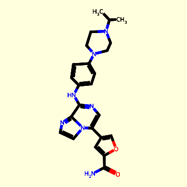 CC(C)N1CCN(c2ccc(Nc3ncc(-c4coc(C(N)=O)c4)n4ccnc34)cc2)CC1